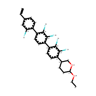 C=Cc1ccc(-c2ccc(-c3ccc(C4CCC(OCC)OC4)c(F)c3F)c(F)c2F)c(F)c1